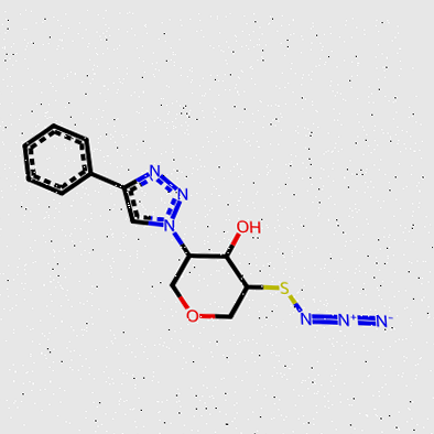 [N-]=[N+]=NSC1COCC(n2cc(-c3ccccc3)nn2)C1O